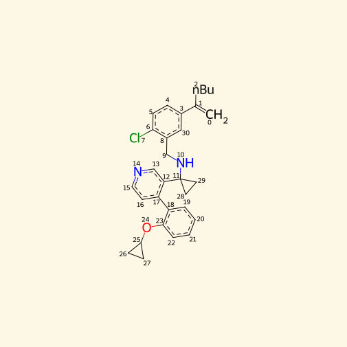 C=C(CCCC)c1ccc(Cl)c(CNC2(c3cnccc3-c3ccccc3OC3CC3)CC2)c1